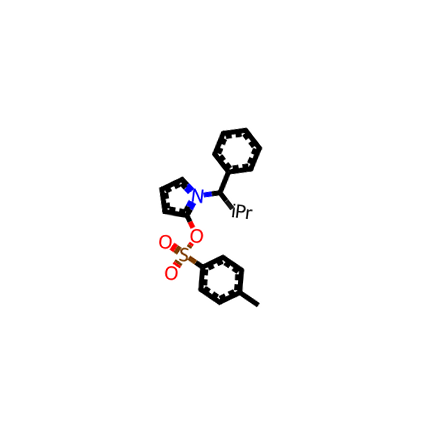 Cc1ccc(S(=O)(=O)Oc2cccn2C(c2ccccc2)C(C)C)cc1